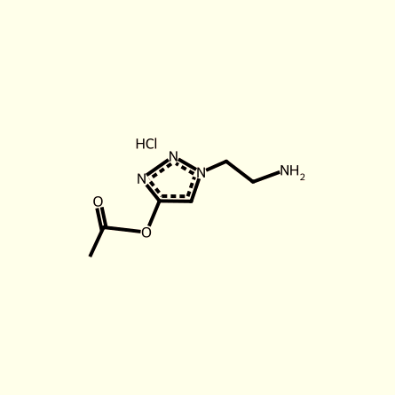 CC(=O)Oc1cn(CCN)nn1.Cl